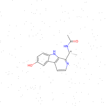 CC(=O)N[C@H](C)c1nccc2c1[nH]c1ccc(O)cc12